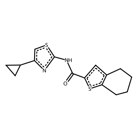 O=C(Nc1nc(C2CC2)cs1)c1cc2c(s1)CCCC2